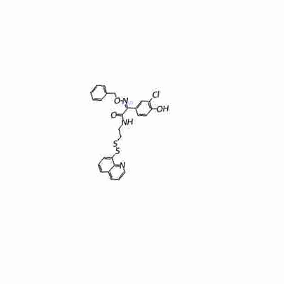 O=C(NCCSSc1cccc2cccnc12)/C(=N\OCc1ccccc1)c1ccc(O)c(Cl)c1